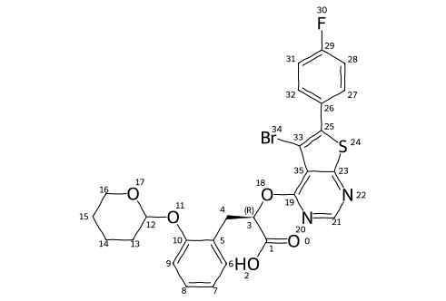 O=C(O)[C@@H](Cc1ccccc1OC1CCCCO1)Oc1ncnc2sc(-c3ccc(F)cc3)c(Br)c12